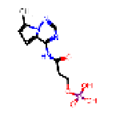 Cc1ccc2c(NC(=O)CCOP(=O)(O)O)ncnn12